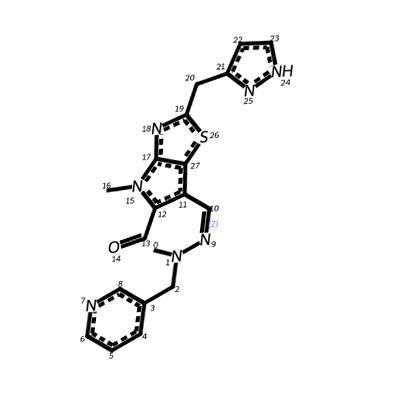 CN(Cc1cccnc1)/N=C\c1c(C=O)n(C)c2nc(Cc3cc[nH]n3)sc12